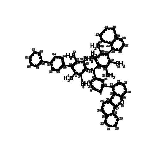 Bc1c(B)c(N(c2cccc(-c3cccc4oc5c6ccccc6ccc5c34)c2)c2c(B)c(B)c(-c3cccc4ccccc34)c(B)c2B)c(B)c(B)c1-c1ccc(-c2ccccc2)cc1